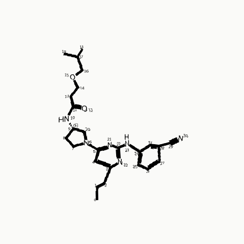 CCCc1cc(N2CC[C@H](NC(=O)CCOCC(C)C)C2)nc(Nc2cccc(C#N)c2)n1